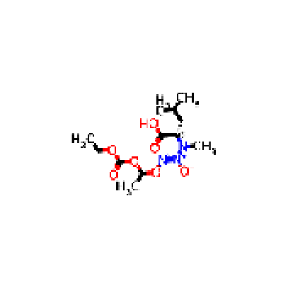 CCOC(=O)OC(C)O/N=[N+](\[O-])N(C)[C@@H](CC(C)C)C(=O)O